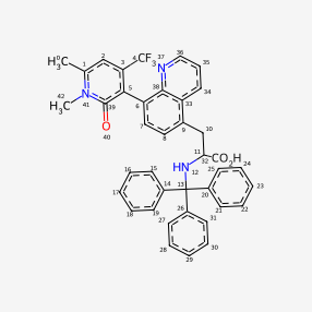 Cc1cc(C(F)(F)F)c(-c2ccc(CC(NC(c3ccccc3)(c3ccccc3)c3ccccc3)C(=O)O)c3cccnc23)c(=O)n1C